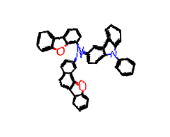 c1ccc(-n2c3ccccc3c3cc(N(c4ccc5ccc6c7ccccc7oc6c5c4)c4cccc5c4oc4ccccc45)ccc32)cc1